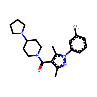 Cc1nn(-c2cccc(C(F)(F)F)c2)c(C)c1C(=O)N1CCC(N2CCCC2)CC1